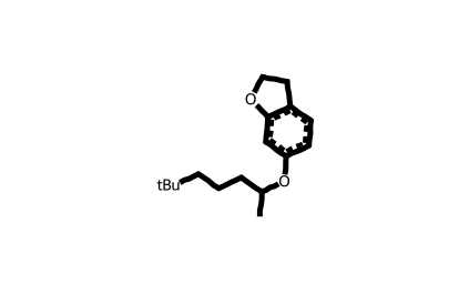 CC(CCCC(C)(C)C)Oc1ccc2c(c1)OCC2